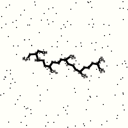 CCC(CO)NCCC(C)CCCC(C)CCCC(C)CCCC(C)C